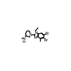 CCn1c(N2CCC[C@H](NC)C2)nc2c(C)c(Br)c(Br)cc21